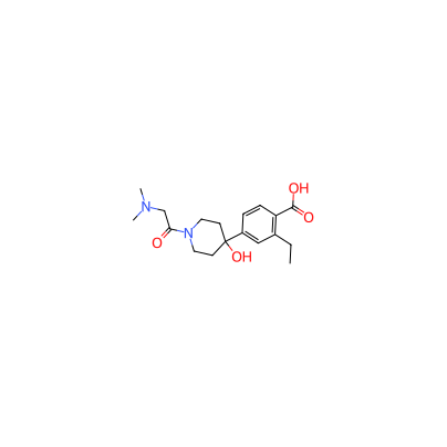 CCc1cc(C2(O)CCN(C(=O)CN(C)C)CC2)ccc1C(=O)O